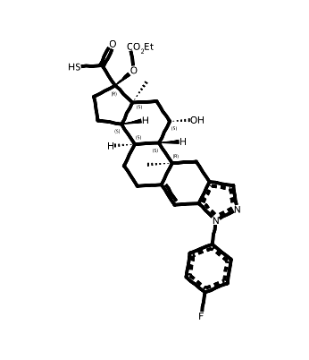 CCOC(=O)O[C@]1(C(=O)S)CC[C@H]2[C@@H]3CCC4=Cc5c(cnn5-c5ccc(F)cc5)C[C@]4(C)[C@H]3[C@@H](O)C[C@@]21C